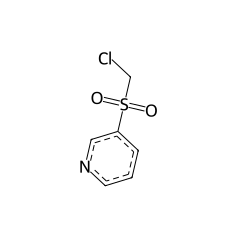 O=S(=O)(CCl)c1cccnc1